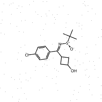 CC(C)(C)[S@@+]([O-])N=C(c1ccc(Cl)cc1)C1CC(O)C1